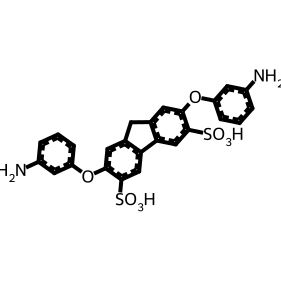 Nc1cccc(Oc2cc3c(cc2S(=O)(=O)O)-c2cc(S(=O)(=O)O)c(Oc4cccc(N)c4)cc2C3)c1